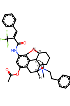 CC(=O)Oc1cc(NC(=O)C(=Cc2ccccc2)C(F)(F)F)c2c3c1C[C@@H]1[C@@H]4CCC[C@H](O2)[C@]34CC[N+]1(C)CCc1ccccc1